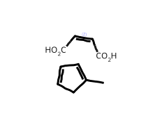 CC1=CC=CC1.O=C(O)/C=C\C(=O)O